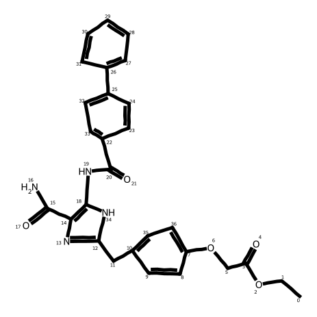 CCOC(=O)COc1ccc(Cc2nc(C(N)=O)c(NC(=O)c3ccc(-c4ccccc4)cc3)[nH]2)cc1